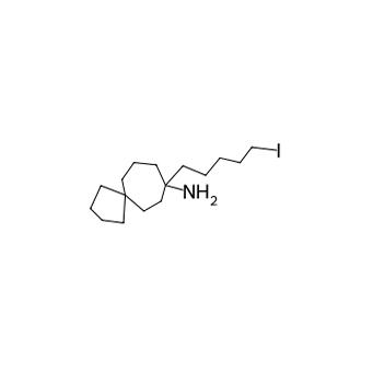 NC1(CCCCCI)CCCC2(CCCC2)CC1